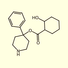 O=C(OC1(c2ccccc2)CCNCC1)C1CCCCC1O